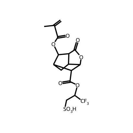 C=C(C)C(=O)OC1C2CC3C(OC(=O)C31)C2C(=O)OC(CS(=O)(=O)O)C(F)(F)F